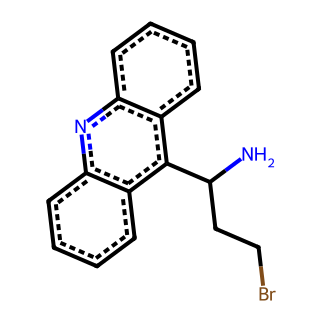 NC(CCBr)c1c2ccccc2nc2ccccc12